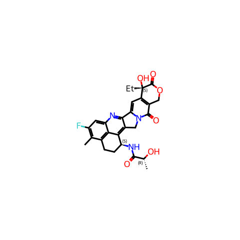 CC[C@@]1(O)C(=O)OCc2c1cc1n(c2=O)Cc2c-1nc1cc(F)c(C)c3c1c2[C@@H](NC(=O)[C@@H](C)O)CC3